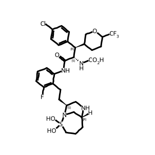 O=C(O)N[C@H](C(=O)Nc1cccc(F)c1CC[C@H]1CN[C@@H]2CCCS(O)(O)N1C2)[C@@H](c1ccc(Cl)cc1)C1CCC(C(F)(F)F)OC1